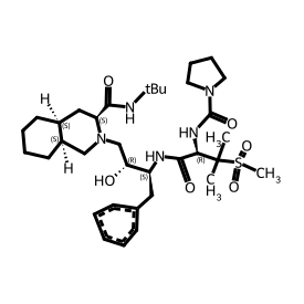 CC(C)(C)NC(=O)[C@@H]1C[C@@H]2CCCC[C@@H]2CN1C[C@@H](O)[C@H](Cc1ccccc1)NC(=O)[C@@H](NC(=O)N1CCCC1)C(C)(C)S(C)(=O)=O